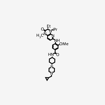 CC[C@@H]1C(=O)N(C)c2ccc(Nc3ccc(C(=O)N[C@H]4CC[C@H](N5CCN(CC6CC6)CC5)CC4)cc3OC)nc2N1C(C)C